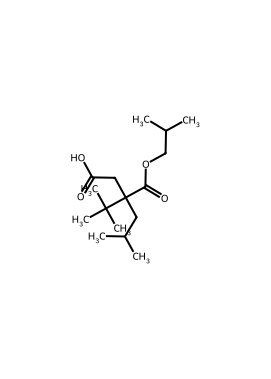 CC(C)COC(=O)C(CC(=O)O)(CC(C)C)C(C)(C)C